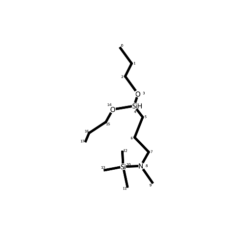 CCCO[SiH](CCCN(C)[Si](C)(C)C)OCCC